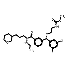 CCNN(CCCC1CCCOC1)C(=O)c1cccc([C@H](OCCNC(=O)OC)c2cc(F)cc(Cl)c2)c1